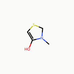 CN1CSC=C1O